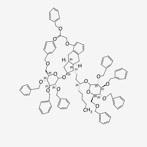 CCCCC[C@H](CC[C@H]1[C@@H]2Cc3cccc(OCC(=O)OCc4ccccc4)c3C[C@@H]2C[C@@H]1OC1O[C@H](COCc2ccccc2)[C@@H](OCc2ccccc2)[C@H](OCc2ccccc2)[C@H]1OCc1ccccc1)OC1O[C@H](COCc2ccccc2)[C@@H](OCc2ccccc2)[C@H](OCc2ccccc2)[C@H]1OCc1ccccc1